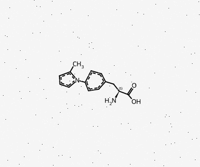 Cc1cccn1-c1ccc(C[C@H](N)C(=O)O)cc1